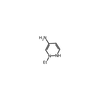 CCN1C=C(N)C=CN1